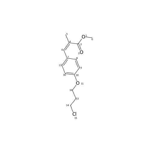 COC(=O)C(C)=Cc1ccc(OCCCCl)cc1